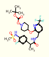 CC(C(=O)NCc1ccc(C(F)(F)F)nc1OC1CCN(OC(=O)OC(C)(C)C)CC1)c1ccc(NS(C)(=O)=O)c(F)c1